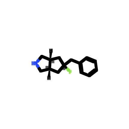 F[C@@]1(Cc2ccccc2)C[C@H]2CNC[C@H]2C1